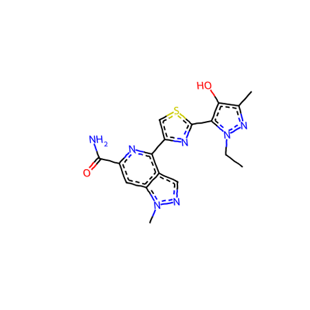 CCn1nc(C)c(O)c1-c1nc(-c2nc(C(N)=O)cc3c2cnn3C)cs1